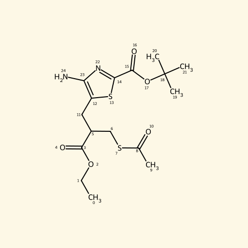 CCOC(=O)C(CSC(C)=O)Cc1sc(C(=O)OC(C)(C)C)nc1N